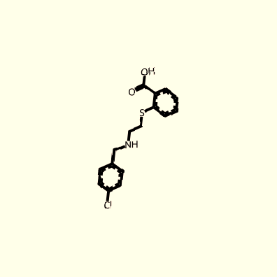 O=C(O)c1ccccc1SCCNCc1ccc(Cl)cc1